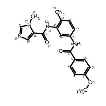 COc1ccc(C(=O)Nc2ccc(C)c(NC(=O)c3cncn3C)c2)cc1